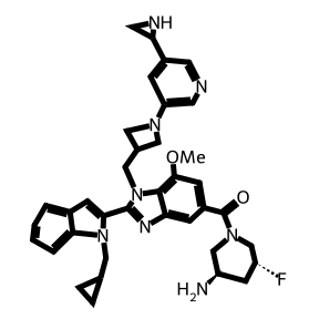 COc1cc(C(=O)N2C[C@H](N)C[C@@H](F)C2)cc2nc(-c3cc4ccccc4n3CC3CC3)n(CC3CN(c4cncc(C5CN5)c4)C3)c12